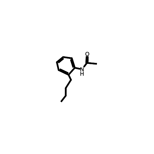 CCCCc1ccccc1NC(C)=O